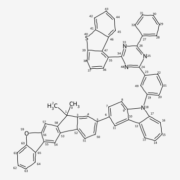 CC1(C)c2cc(-c3ccc4c(c3)c3ccccc3n4-c3cccc(-c4nc(-c5ccccc5)nc(-c5cccc6sc7ccccc7c56)n4)c3)ccc2-c2cc3c(cc21)oc1ccccc13